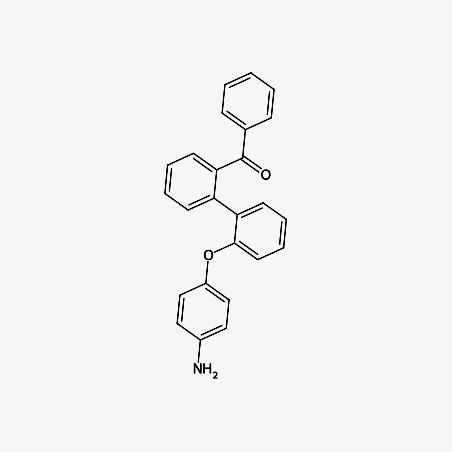 Nc1ccc(Oc2ccccc2-c2ccccc2C(=O)c2ccccc2)cc1